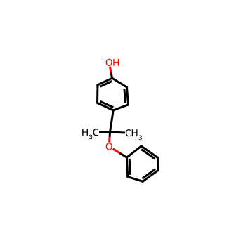 CC(C)(Oc1ccccc1)c1ccc(O)cc1